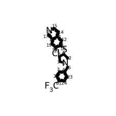 FC(F)(F)c1ccc(CN2CC[C@H](Sc3cc4ccncc4cc3Cl)C2)cc1